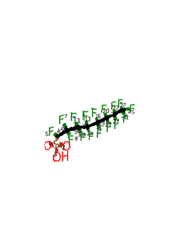 O=S(=O)(O)C(F)C(F)(F)C(F)(F)C(F)(F)C(F)(F)C(F)(F)C(F)(F)C(F)(F)F